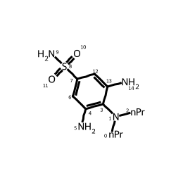 CCCN(CCC)c1c(N)cc(S(N)(=O)=O)cc1N